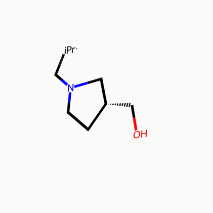 C[C](C)CN1CC[C@@H](CO)C1